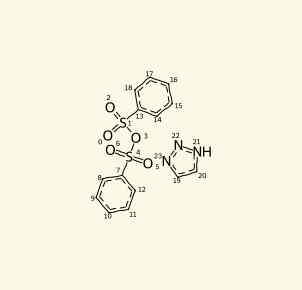 O=S(=O)(OS(=O)(=O)c1ccccc1)c1ccccc1.c1c[nH]nn1